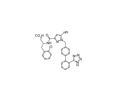 CCCc1cc(C(=O)NC(CC(=O)O)Cc2ccccc2Cl)nn1Cc1ccc(-c2ccccc2-c2nnn[nH]2)cc1